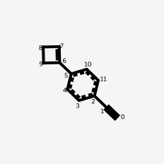 C#Cc1ccc(C2=CCC2)cc1